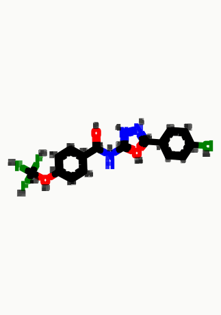 O=C(Nc1nnc(-c2ccc(Cl)cc2)o1)c1ccc(OC(F)(F)F)cc1